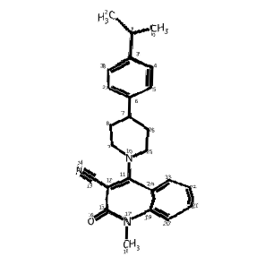 CC(C)c1ccc(C2CCN(c3c(C#N)c(=O)n(C)c4ccccc34)CC2)cc1